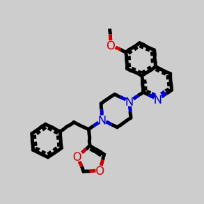 COc1ccc2ccnc(N3CCN(C(Cc4ccccc4)C4=COCO4)CC3)c2c1